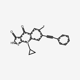 O=c1[nH]sc2c1c(=O)c1cc(F)c(C#Cc3ccccc3)cc1n2C1CC1